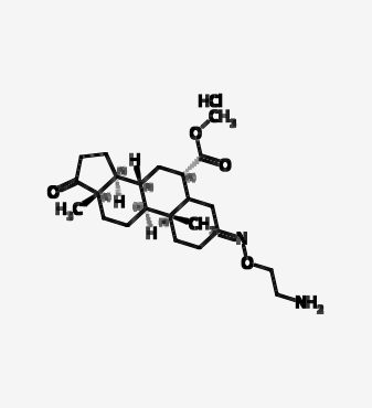 COC(=O)[C@H]1C[C@@H]2[C@H](CC[C@]3(C)C(=O)CC[C@@H]23)[C@@]2(C)CCC(=NOCCN)CC12.Cl